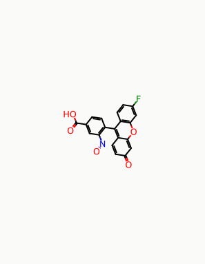 O=Nc1cc(C(=O)O)ccc1-c1c2ccc(=O)cc-2oc2cc(F)ccc12